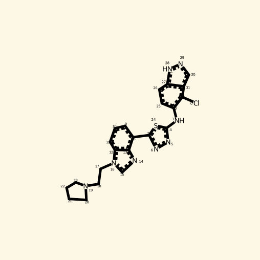 Clc1c(Nc2nnc(-c3cccc4c3ncn4CCN3CCCC3)s2)ccc2[nH]ncc12